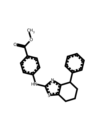 COC(=O)c1ccc(Nc2nc3c(s2)CCCC3c2ccccc2)cc1